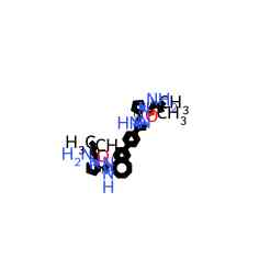 CC(C)[C@H](N)C(=O)N1CCC[C@H]1c1ncc(-c2ccc(-c3ccc4c(c3)CCCCc3[nH]c([C@@H]5CCCN5C(=O)[C@@H](N)C(C)C)nc3-4)cc2)[nH]1